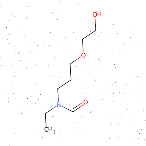 CCN(C=O)CCCOCCO